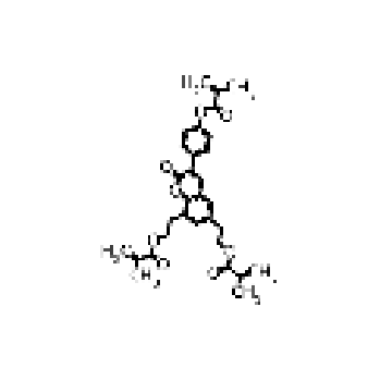 C=C(C)C(=O)OCCc1cc(CCOC(=O)C(=C)C)c2oc(=O)c(-c3ccc(OC(=O)C(=C)C)cc3)cc2c1